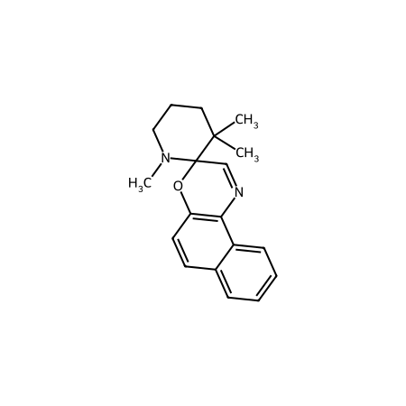 CN1CCCC(C)(C)C12C=Nc1c(ccc3ccccc13)O2